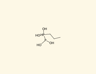 CCC[PH](O)(O)P(O)O